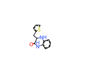 O=C1Nc2ccccc2NC1Cc1cccs1